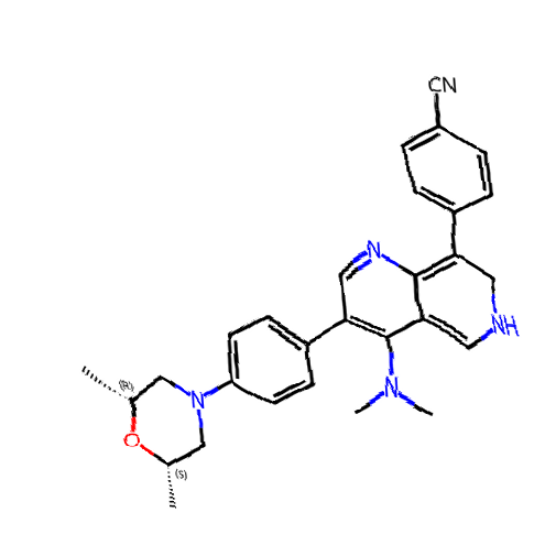 C[C@@H]1CN(c2ccc(-c3cnc4c(c3N(C)C)=CNCC=4c3ccc(C#N)cc3)cc2)C[C@H](C)O1